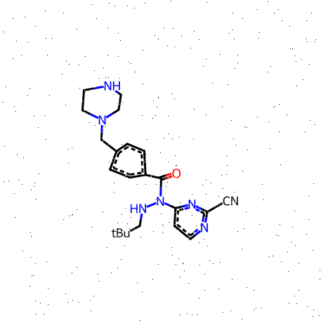 CC(C)(C)CNN(C(=O)c1ccc(CN2CCNCC2)cc1)c1ccnc(C#N)n1